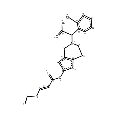 CCC/C=C/C(=O)Oc1cc2c(s1)CCN(C(C(=O)O)c1ccccc1Cl)C2